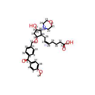 COc1ccc(C(=O)c2ccc(CO[C@H]3C[C@@H](O)[C@H](N4CCOCC4)[C@H]3C/C=C\CCCC(=O)O)cc2)cc1